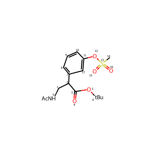 CC(=O)NCC(C(=O)OC(C)(C)C)c1cccc(OS(C)(=O)=O)c1